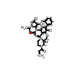 C=CC(=O)N1CCN2c3nc(=O)n(-c4c(C)c(Cl)nn4C(C)C)c4nc(-c5ccccc5F)c(Cl)c(c34)OC[C@H]2C1